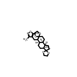 Cc1noc(C)c1CC1[C@@H]2CC[C@@]3(C)[C@@H](CCC34OCCO4)[C@@H]2CCC12OCCO2